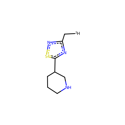 [2H]Cc1nsc(C2CCCNC2)n1